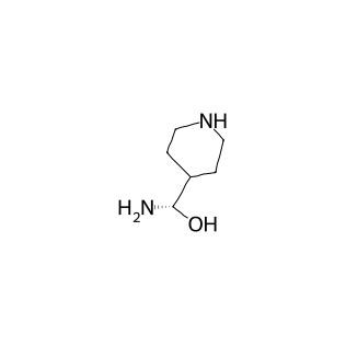 N[C@@H](O)C1CCNCC1